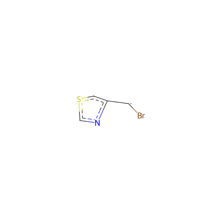 Br[CH]c1cscn1